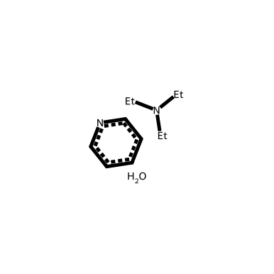 CCN(CC)CC.O.c1ccncc1